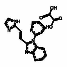 C(=Cc1nc2ccccc2n1-c1ccccn1)c1ncc[nH]1.O=C(O)C(=O)O